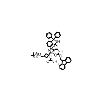 CC(C)(C)[Si](C)(C)OCC1CC(OC(N)=O)(c2noc([C@H](CC(=O)NC(c3ccccc3)(c3ccccc3)c3ccccc3)NC(=O)OCC3c4ccccc4-c4ccccc43)n2)C1